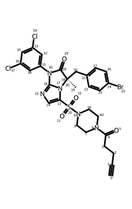 C#CCCC(=O)N1CCN(S(=O)(=O)c2cnc3n2[C@](C)(Cc2ccc(Br)cc2)C(=O)N3c2cc(Cl)cc(Cl)c2)CC1